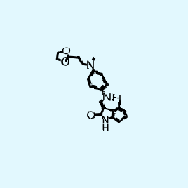 Cc1cccc2c1/C(=C\Nc1ccc(N(C)CCC3OCCO3)cc1)C(=O)N2